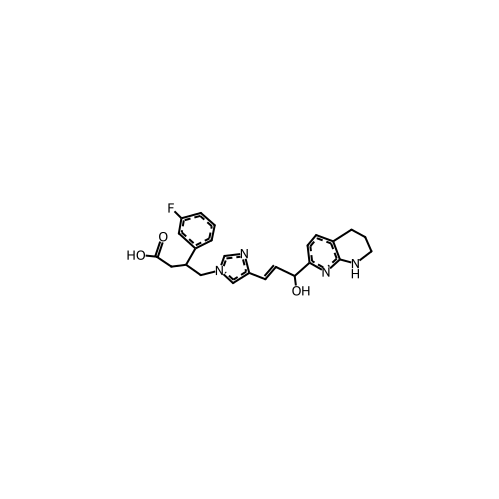 O=C(O)CC(Cn1cnc(C=CC(O)c2ccc3c(n2)NCCC3)c1)c1cccc(F)c1